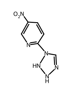 O=[N+]([O-])c1ccc(N2C=NNN2)nc1